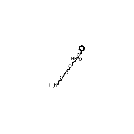 NCCCOCCOCCOCCCNC(=O)OCc1ccccc1